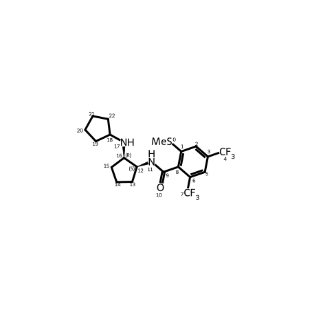 CSc1cc(C(F)(F)F)cc(C(F)(F)F)c1C(=O)N[C@H]1CCC[C@H]1NC1CCCC1